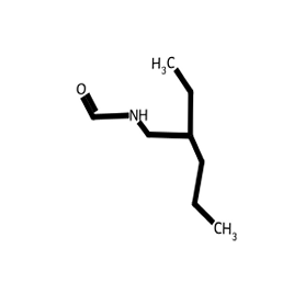 CCCC(CC)CNC=O